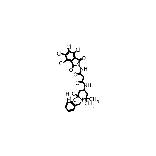 CC1(C)CC(NC(=O)CC(=O)NN2C(=O)c3c(Cl)c(Cl)c(Cl)c(Cl)c3C2=O)CC(C)(C)N1Cc1ccccc1